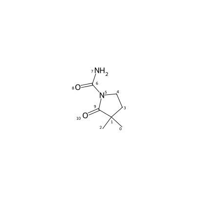 CC1(C)CCN(C(N)=O)C1=O